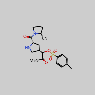 CNC(=O)C(OS(=O)(=O)c1ccc(C)cc1)[C@H]1CN[C@H](C(=O)N2CCC[C@H]2C#N)C1